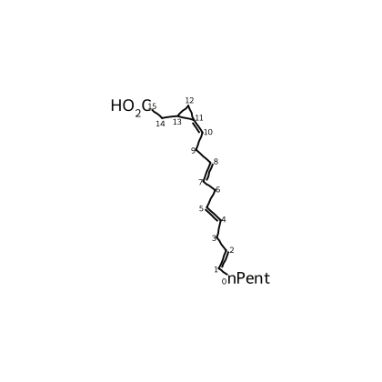 CCCCCC=CCC=CCC=CCC=C1CC1CC(=O)O